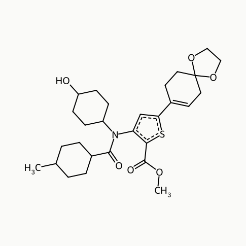 COC(=O)c1sc(C2=CCC3(CC2)OCCO3)cc1N(C(=O)C1CCC(C)CC1)C1CCC(O)CC1